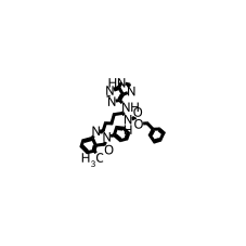 Cc1cccc2nc(CCCC(NC(=O)OCc3ccccc3)Nc3ncnc4[nH]cnc34)n(-c3ccccc3)c(=O)c12